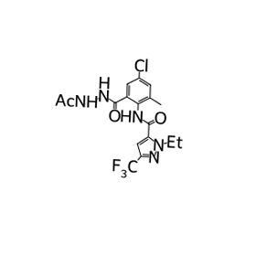 CCn1nc(C(F)(F)F)cc1C(=O)Nc1c(C)cc(Cl)cc1C(=O)NNC(C)=O